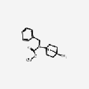 CC12CCC(N(Cc3ccccc3)C(=O)OC(C)(C)C)(CC1)CC2